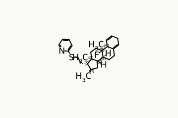 C[C@@H]1C[C@H]2[C@@H]3CCC4=CCC=C[C@]4(C)[C@@]3(F)CC[C@]2(C)[C@H]1CCSc1ccccn1